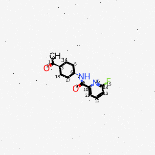 CC(=O)[C@H]1CC[C@H](NC(=O)c2cccc(F)n2)CC1